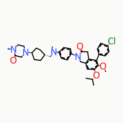 COc1c(OC(C)C)cc2c(c1-c1ccc(Cl)cc1)CC(=O)N(c1ccc(N(C)C[C@H]3CC[C@H](N4CCN(C)C(=O)C4)CC3)cc1)C2